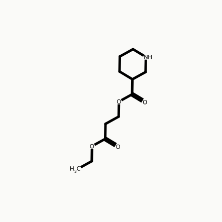 CCOC(=O)CCOC(=O)C1CCCNC1